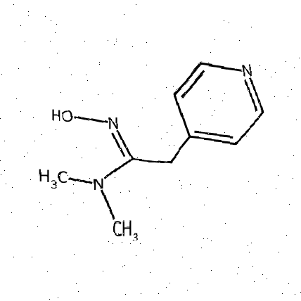 CN(C)C(Cc1ccncc1)=NO